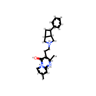 Cc1ccn2c(=O)c(CCN3CC4CC(c5ccccc5)C4C3)c(C)nc2c1